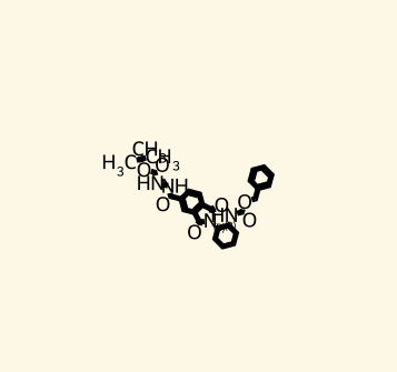 CC(C)(C)OC(=O)NNC(=O)c1ccc2c(c1)C(=O)N([C@@H]1CCCC[C@H]1NC(=O)OCc1ccccc1)C2=O